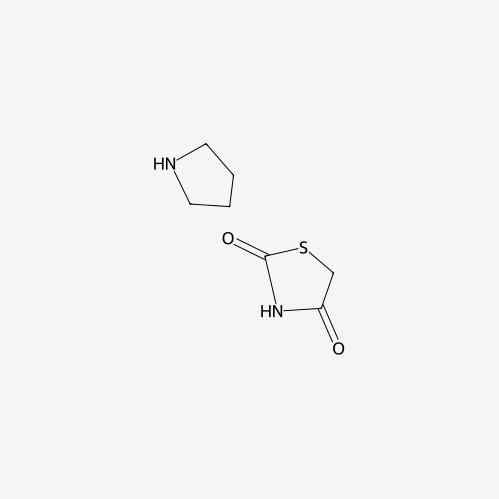 C1CCNC1.O=C1CSC(=O)N1